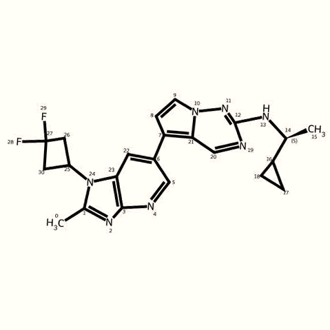 Cc1nc2ncc(-c3ccn4nc(N[C@@H](C)C5CC5)ncc34)cc2n1C1CC(F)(F)C1